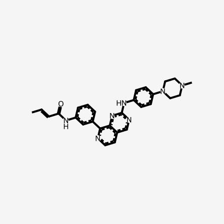 CC=CC(=O)Nc1cccc(-c2nccc3cnc(Nc4ccc(N5CCN(C)CC5)cc4)nc23)c1